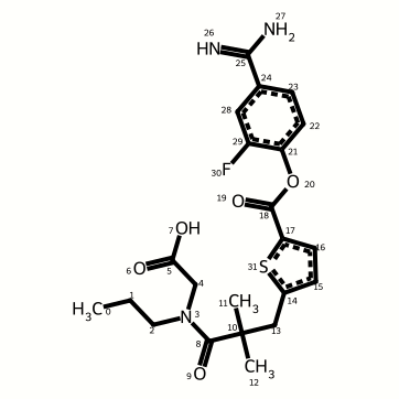 CCCN(CC(=O)O)C(=O)C(C)(C)Cc1ccc(C(=O)Oc2ccc(C(=N)N)cc2F)s1